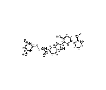 COc1ncccc1-c1ccc(O)c(-c2nc3cc(C(=O)NCCc4nc(C)cc(O)n4)ccc3[nH]2)c1